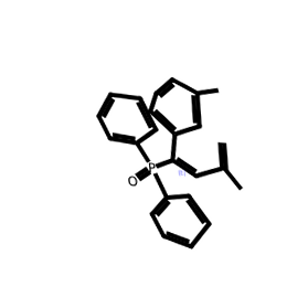 C=C(C)/C=C(\c1cccc(C)c1)P(=O)(c1ccccc1)c1ccccc1